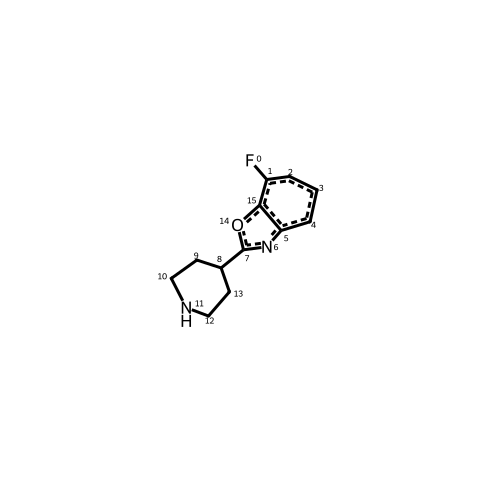 Fc1cccc2nc(C3CCNCC3)oc12